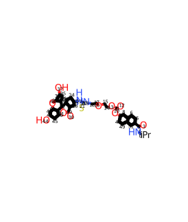 CC(C)NC(=O)c1ccc2cc(OC(=O)OCCOCCNC(=S)Nc3ccc4c(c3)C(=O)OC43c4ccc(O)cc4Oc4cc(O)ccc43)ccc2c1